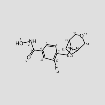 O=C(NO)c1ccc(CN2C3CCC2COC3)c(F)c1